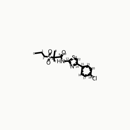 CCCS(=O)(=O)C(C)(C)C(=O)Nc1nc(-c2ccc(Cl)cc2)cs1